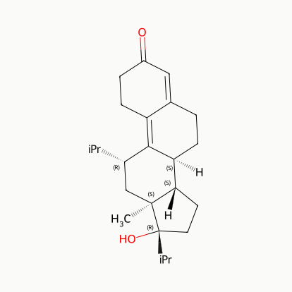 CC(C)[C@H]1C[C@@]2(C)[C@@H](CC[C@@]2(O)C(C)C)[C@@H]2CCC3=CC(=O)CCC3=C21